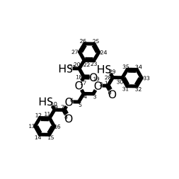 O=C(OCC(COC(=O)C(S)c1ccccc1)OC(=O)C(S)c1ccccc1)C(S)c1ccccc1